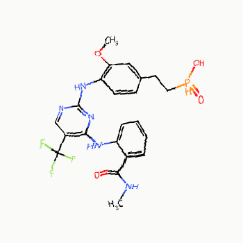 CNC(=O)c1ccccc1Nc1nc(Nc2ccc(CC[PH](=O)O)cc2OC)ncc1C(F)(F)F